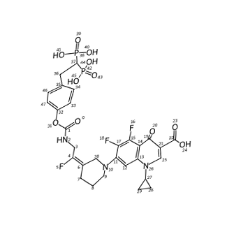 O=C(NC/C(F)=C1/CCCN(c2cc3c(c(F)c2F)c(=O)c(C(=O)O)cn3C2CC2)C1)Oc1ccc(CC(P(=O)(O)O)P(=O)(O)O)cc1